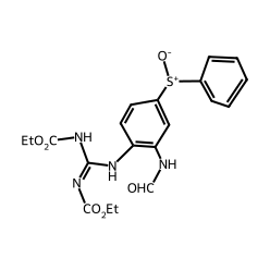 CCOC(=O)/N=C(/NC(=O)OCC)Nc1ccc([S+]([O-])c2ccccc2)cc1NC=O